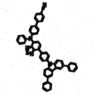 N#Cc1ccc(-c2ccc(N(c3ccccc3)c3ccc(-c4ccc(-n5c6ccc(-c7ccccc7)cc6c6cc(-c7ccccc7)ccc65)cc4)c4nsnc34)cc2)cc1